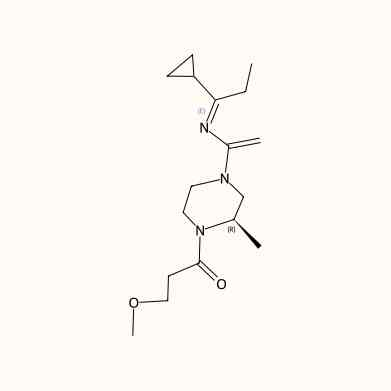 C=C(/N=C(\CC)C1CC1)N1CCN(C(=O)CCOC)[C@H](C)C1